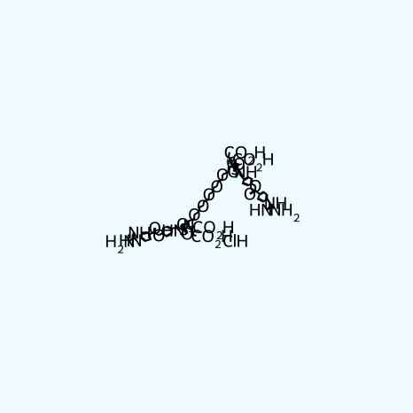 Cl.N=C(N)Nc1ccc(C(=O)Oc2ccc(CNS(=O)(=O)N(CCOCCOCCOCCOCCOCCN([C@@H](CC(=O)O)C(=O)O)S(=O)(=O)NCc3ccc(OC(=O)c4ccc(NC(=N)N)cc4)cc3)[C@@H](CC(=O)O)C(=O)O)cc2)cc1